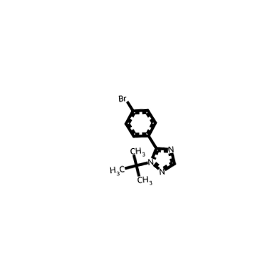 CC(C)(C)n1ncnc1-c1ccc(Br)cc1